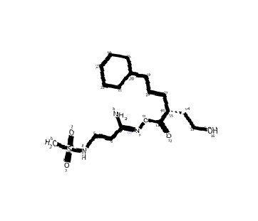 CS(=O)(=O)NCC/C(N)=N/OC(=O)[C@@H](CCO)CCCC1CCCCC1